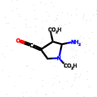 NC1C(C(=O)O)C(=C=O)CN1C(=O)O